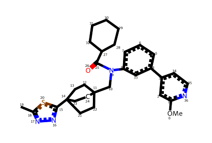 COc1cc(-c2cccc(N(CC34CCC(c5nnc(C)s5)(CC3)CC4)C(=O)C3CCCCC3)c2)ccn1